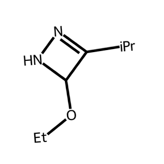 CCOC1NN=C1C(C)C